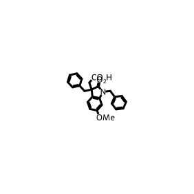 COc1ccc2c(c1)N(Cc1ccccc1)C(=O)C2(CC(=O)O)Cc1ccccc1